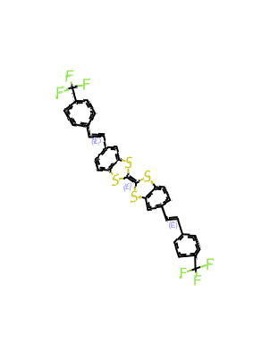 FC(F)(F)c1ccc(/C=C/c2ccc3c(c2)S/C(=C2\Sc4ccc(/C=C/c5ccc(C(F)(F)F)cc5)cc4S2)S3)cc1